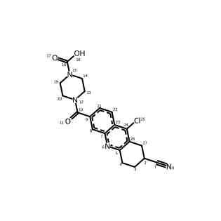 N#CC1CCc2nc3cc(C(=O)N4CCN(C(=O)O)CC4)ccc3c(Cl)c2C1